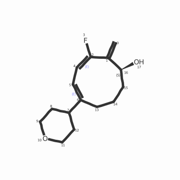 C=C1/C(F)=C\C=C(\C2CCOCC2)CCC[C@@H]1O